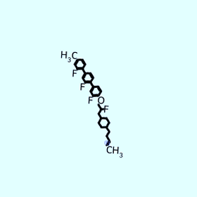 C/C=C/CCC1CCC(CC(F)COc2ccc(-c3ccc(-c4ccc(C)cc4F)cc3F)cc2F)CC1